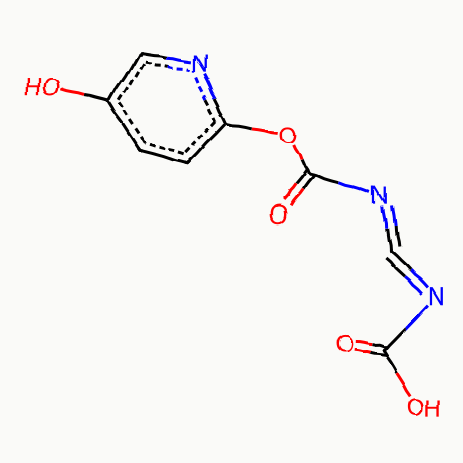 O=C(O)N=C=NC(=O)Oc1ccc(O)cn1